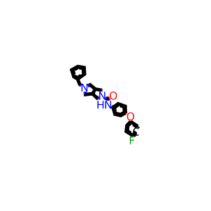 O=C(Nc1ccc(Oc2ccc(F)cc2)cc1)N1CC2CN(Cc3ccccc3)CC2C1